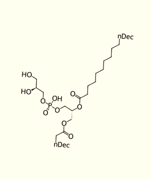 CCCCCCCCCCCCCCCCCCCC(=O)O[C@H](COC(=O)CCCCCCCCCCC)COP(=O)(O)OC[C@@H](O)CO